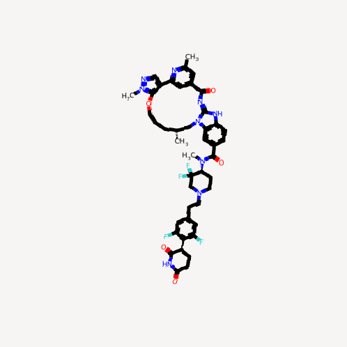 Cc1cc2cc(n1)-c1cnn(C)c1OCCC[C@@H](C)CN1/C(=N/C2=O)Nc2ccc(C(=O)N(C)[C@H]3CCN(CCc4cc(F)c([C@H]5CCC(=O)NC5=O)c(F)c4)CC3(F)F)cc21